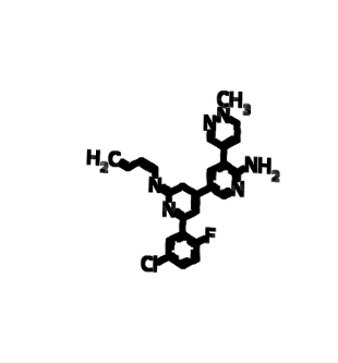 C=C/C=C\N=C1/CC(c2cnc(N)c(C3=CCN(C)N=C3)c2)=CC(c2cc(Cl)ccc2F)=N1